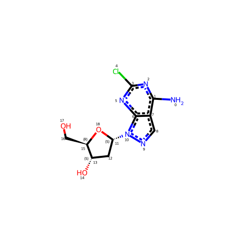 Nc1nc(Cl)nc2c1cnn2[C@@H]1C[C@H](O)[C@@H](CO)O1